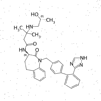 C[C@@H](O)CNC(C)(C)CC(=O)N[C@@H]1CCc2ccccc2N(Cc2ccc(-c3ccccc3-c3nc[nH]n3)cc2)C1=O